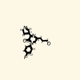 O=CCCc1cn(-c2ccc(F)cc2)c(=O)c(C2=CCN=C2)n1